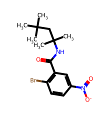 CC(C)(C)CC(C)(C)NC(=O)c1cc([N+](=O)[O-])ccc1Br